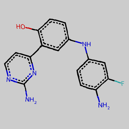 Nc1nccc(-c2cc(Nc3ccc(N)c(F)c3)ccc2O)n1